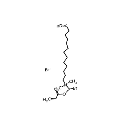 C=CC(=O)OC(CC)[N+](C)(C)CCCCCCCCCCCCCCCCCCCCCC.[Br-]